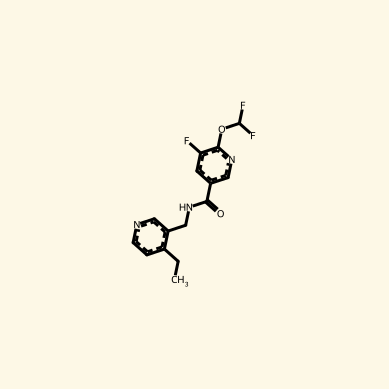 CCc1ccncc1CNC(=O)c1cnc(OC(F)F)c(F)c1